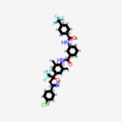 Cc1cc(C2(C(F)(F)F)CC(c3ccc(Cl)cc3)=NO2)cc(C)c1NC(=O)c1cccc(NC(=O)c2ccc(C(F)(F)F)cc2)c1